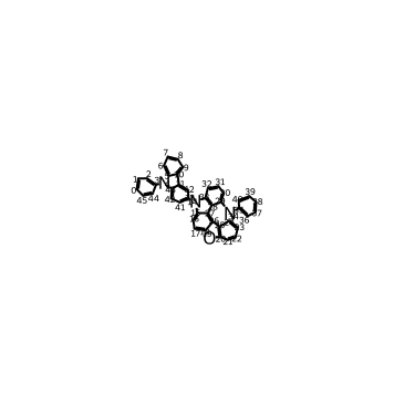 c1ccc(-n2c3ccccc3c3cc(-n4c5ccc6oc7cccc8c7c6c5c5c(cccc54)n8-c4ccccc4)ccc32)cc1